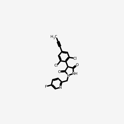 CC#Cc1cc(Cl)c(C2C(=O)NN(Cc3ccc(F)cn3)C2=O)c(Cl)c1